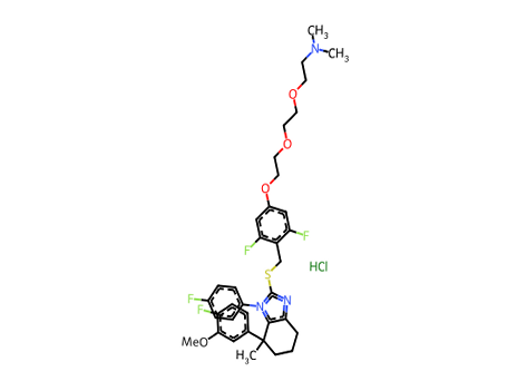 COc1cc(C2(C)CCCc3nc(SCc4c(F)cc(OCCOCCOCCN(C)C)cc4F)n(-c4ccc(F)cc4)c32)ccc1F.Cl